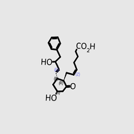 O=C(O)CCC/C=C\C[C@H]1C(=O)C[C@@H](O)C[C@@H]1/C=C/C(O)Cc1ccccc1